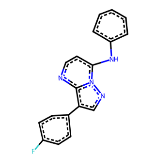 Fc1ccc(-c2cnn3c(Nc4ccccc4)ccnc23)cc1